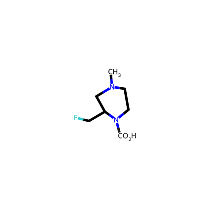 CN1CCN(C(=O)O)C(CF)C1